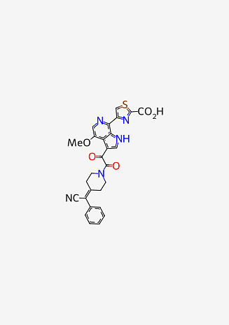 COc1cnc(-c2csc(C(=O)O)n2)c2[nH]cc(C(=O)C(=O)N3CCC(=C(C#N)c4ccccc4)CC3)c12